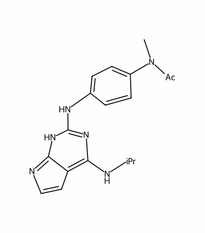 CC(=O)N(C)c1ccc(Nc2nc(NC(C)C)c3ccnc-3[nH]2)cc1